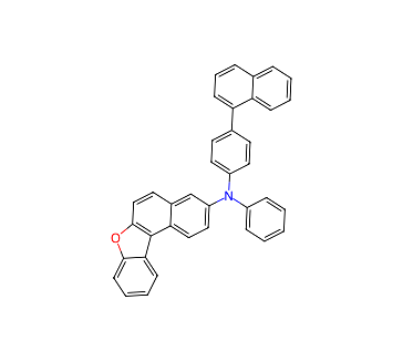 c1ccc(N(c2ccc(-c3cccc4ccccc34)cc2)c2ccc3c(ccc4oc5ccccc5c43)c2)cc1